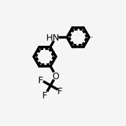 FC(F)(F)Oc1cccc(Nc2cc[c]cc2)c1